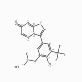 CN(C)Cc1cc(-c2csc3nc(=O)cnn23)cc(C(C)(C)C)c1O.Cl